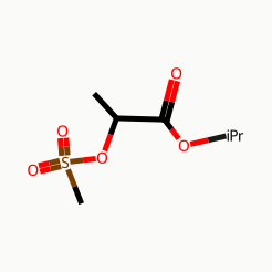 CC(C)OC(=O)C(C)OS(C)(=O)=O